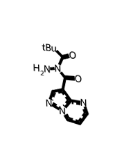 CC(C)(C)C(=O)N(N)C(=O)c1cnn2cccnc12